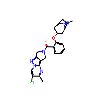 Cc1nc2c3c(nn2cc1Cl)CN(C(=O)c1ccccc1OC1CC2C[C@@H](C)C(C1)N2)C3